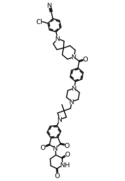 CC1(CN2CCN(c3ccc(C(=O)N4CCC5(CC4)CCN(c4ccc(C#N)c(Cl)c4)C5)cc3)CC2)CN(c2ccc3c(c2)C(=O)N(C2CCC(=O)NC2=O)C3=O)C1